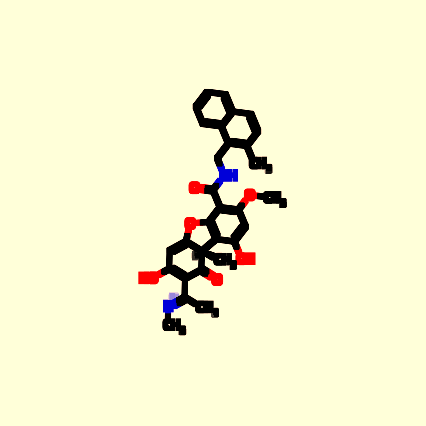 C/N=C(\C)C1=C(O)C=C2Oc3c(C(=O)NCc4c(C)ccc5ccccc45)c(OC)cc(O)c3[C@]2(C)C1=O